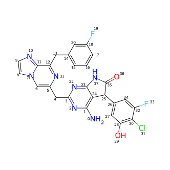 Nc1nc(Cc2cn3ccnc3c(Cc3cccc(F)c3)n2)nc2c1C(c1cc(O)c(Cl)c(F)c1)C(=O)N2